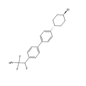 CCCC(F)(F)C(F)c1ccc(-c2ccc([C@H]3CC[C@H](CC)CC3)cc2)cc1